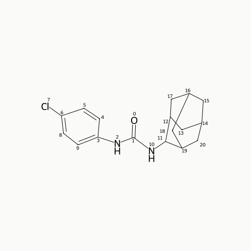 O=C(Nc1ccc(Cl)cc1)NC1C2CC3CC(C2)CC1C3